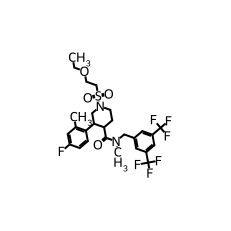 CCOCCS(=O)(=O)N1CCC(C(=O)N(C)Cc2cc(C(F)(F)F)cc(C(F)(F)F)c2)C(c2ccc(F)cc2C)C1